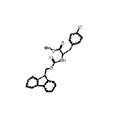 CC(C)(C)OC(=O)C(Cc1ccc(Cl)cc1)NC(=O)OCC1c2ccccc2-c2ccccc21